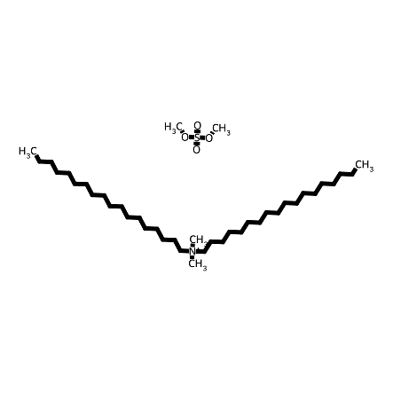 CCCCCCCCCCCCCCCCCC[N+](C)(C)CCCCCCCCCCCCCCCCCC.COS(=O)(=O)OC